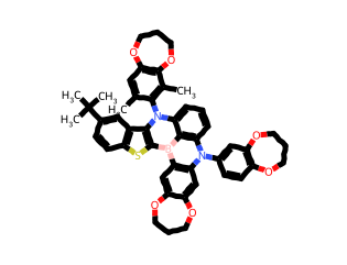 Cc1cc2c(c(C)c1N1c3cccc4c3B(c3cc5c(cc3N4c3ccc4c(c3)OCCCO4)OCCCO5)c3sc4ccc(C(C)(C)C)cc4c31)OCCCO2